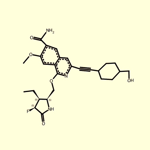 CC[C@@H]1[C@H](F)C(=O)N[C@@H]1COc1nc(C#CC2CCC(CO)CC2)cc2cc(C(N)=O)c(OC)cc12